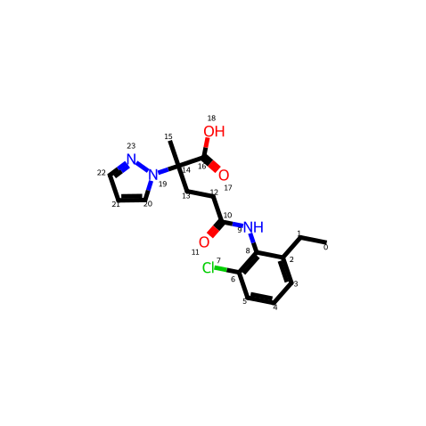 CCc1cccc(Cl)c1NC(=O)CCC(C)(C(=O)O)n1cccn1